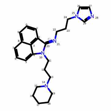 c1cc2c3c(cccc3c1)N(CCCN1CCCCC1)/C2=N/CCCn1ccnc1